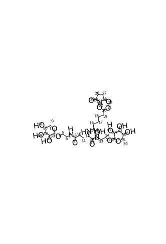 C[C@@H]1O[C@@H](OCCNC(=O)CC[C@H](NC(O)CCCCC(=O)ON2C(=O)CCC2=O)C(=O)NCCO[C@@H]2O[C@@H](C)[C@@H](O)[C@@H](O)[C@@H]2O)[C@@H](O)[C@H](O)[C@@H]1O